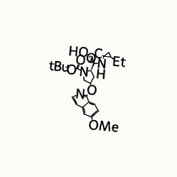 CC[C@@H]1C[C@]1(NC(=O)[C@H]1C[C@@H](Oc2nccc3cc(OC)ccc23)CN1C(=O)OC(C)(C)C)C(=O)O